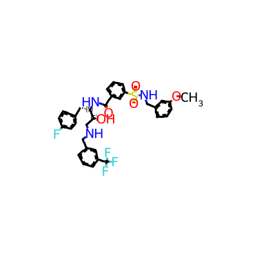 COc1cccc(CNS(=O)(=O)c2cccc(C(=O)N[C@@H](Cc3ccc(F)cc3)[C@@H](O)CNCc3cccc(C(F)(F)F)c3)c2)c1